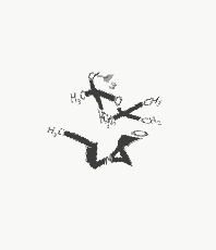 CC(C)(C)OC(C)(C)C.CC=CN1CC1=O